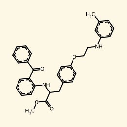 COC(=O)C(Cc1ccc(OCCNc2cccc(C)c2)cc1)Nc1ccccc1C(=O)c1ccccc1